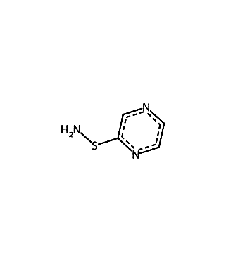 NSc1cnccn1